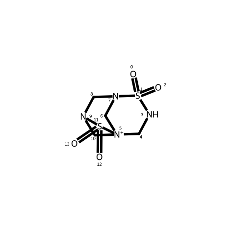 O=S1(=O)NC[N+]23CN1CN(C2)S3(=O)=O